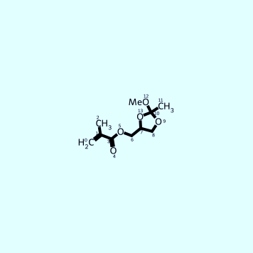 C=C(C)C(=O)OCC1COC(C)(OC)O1